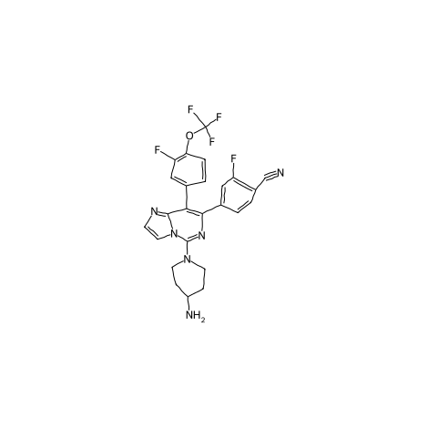 N#Cc1ccc(-c2nc(N3CCC(N)CC3)n3ccnc3c2-c2ccc(OC(F)(F)F)c(F)c2)cc1F